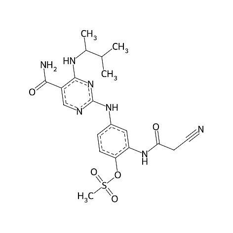 CC(C)C(C)Nc1nc(Nc2ccc(OS(C)(=O)=O)c(NC(=O)CC#N)c2)ncc1C(N)=O